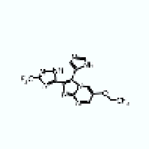 FC(F)(F)COc1cnc2nc(-c3nc(C(F)(F)F)n[nH]3)c(-c3cnc[nH]3)n2c1